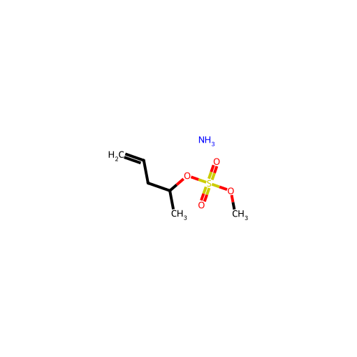 C=CCC(C)OS(=O)(=O)OC.N